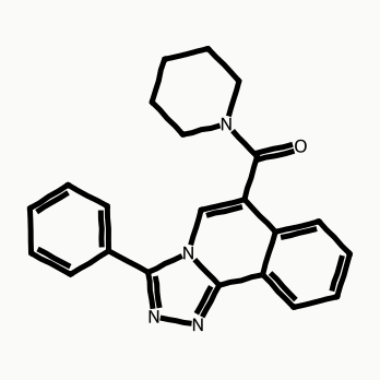 O=C(c1cn2c(-c3ccccc3)nnc2c2ccccc12)N1CCCCC1